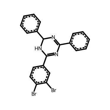 Brc1ccc(C2=NC(c3ccccc3)=NC(c3ccccc3)N2)cc1Br